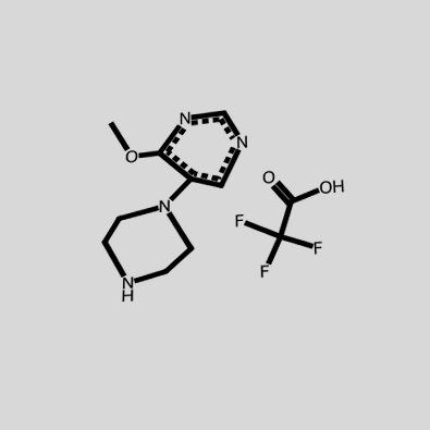 COc1ncncc1N1CCNCC1.O=C(O)C(F)(F)F